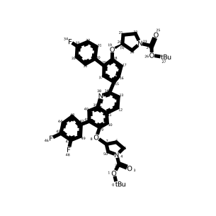 CC(C)(C)OC(=O)N1CCC(Oc2cc3ccc(-c4ccc(O[C@H]5CCN(C(=O)OC(C)(C)C)C5)c(-c5ccc(F)cc5)c4)nc3cc2-c2ccc(F)c(F)c2)C1